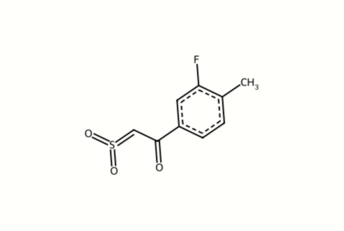 Cc1ccc(C(=O)C=S(=O)=O)cc1F